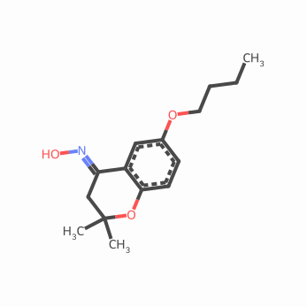 CCCCOc1ccc2c(c1)/C(=N/O)CC(C)(C)O2